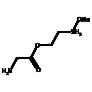 CO[SiH2]CCOC(=O)CN